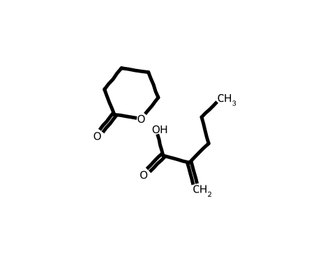 C=C(CCC)C(=O)O.O=C1CCCCO1